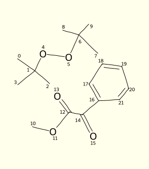 CC(C)(C)OOC(C)(C)C.COC(=O)C(=O)c1ccccc1